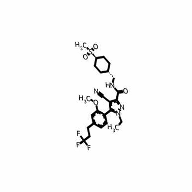 CCn1nc(C(=O)NC[C@H]2CC[C@H](S(C)(=O)=O)CC2)c(C#N)c1-c1ccc(CCC(F)(F)F)cc1OC